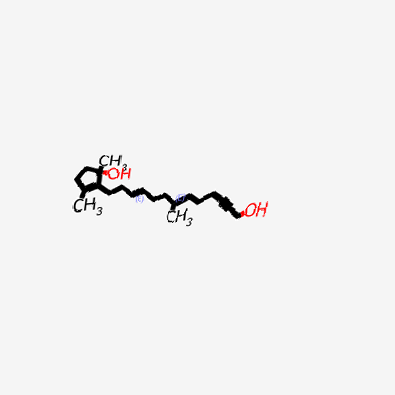 CC1=C(CC/C=C/CC/C(C)=C/CCC#CCO)C(C)(O)CC1